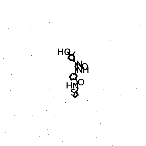 Cc1cc(-c2cc(-c3cccc(C(=O)NCc4cccs4)c3)[nH]c(=O)n2)ccc1O